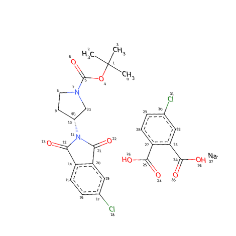 CC(C)(C)OC(=O)N1CC[C@@H](N2C(=O)c3ccc(Cl)cc3C2=O)C1.O=C(O)c1ccc(Cl)cc1C(=O)O.[Na]